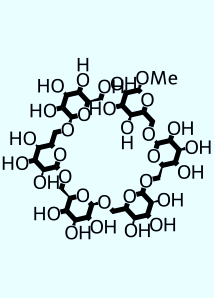 CO[C@H]1OC(CO[C@@H]2O[C@H](COC3OC(CO[C@@H]4O[C@H](COC5OC(CO[C@@H]6O[C@H](CO)C(O)[C@H](O)C6O)[C@@H](O)C(O)[C@H]5O)C(O)[C@H](O)C4O)[C@@H](O)C(O)[C@H]3O)C(O)[C@H](O)C2O)[C@@H](O)C(O)[C@H]1O